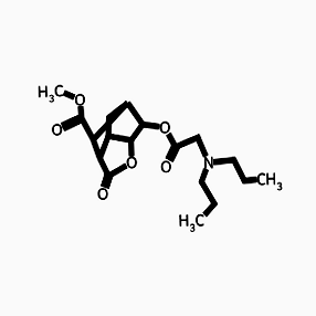 CCCN(CCC)CC(=O)OC1C2CC3C1OC(=O)C3C2C(=O)OC